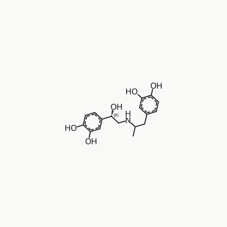 CC(Cc1ccc(O)c(O)c1)NC[C@H](O)c1ccc(O)c(O)c1